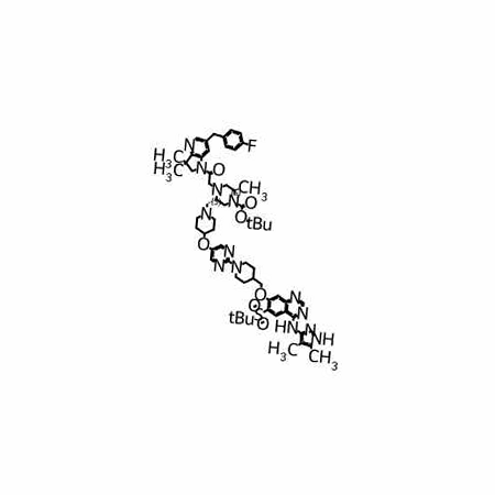 Cc1[nH]nc(Nc2ncnc3cc(OCC4CCN(c5ncc(OC6CCN(C[C@H]7CN(C(=O)OC(C)(C)C)[C@@H](C)CN7CC(=O)N7CC(C)(C)c8ncc(Cc9ccc(F)cc9)cc87)CC6)cn5)CC4)c(S(=O)(=O)C(C)(C)C)cc23)c1C